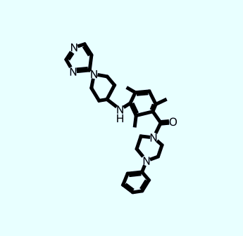 Cc1cc(C)c(C(=O)N2CCN(c3ccccc3)CC2)c(C)c1NC1CCN(c2ccncn2)CC1